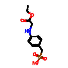 CCOC(=O)CNc1ccc(CS(=O)(=O)O)cc1